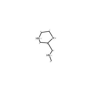 CNCC1CNCC[N]1